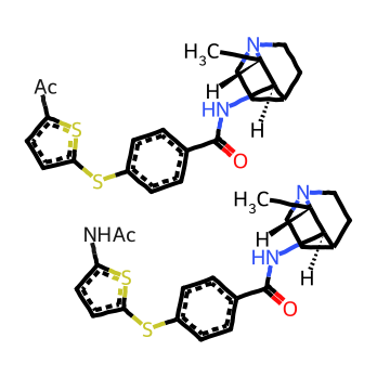 CC(=O)Nc1ccc(Sc2ccc(C(=O)N[C@@H]3C4CCN(CC4)[C@H]3C)cc2)s1.CC(=O)c1ccc(Sc2ccc(C(=O)N[C@@H]3C4CCN(CC4)[C@H]3C)cc2)s1